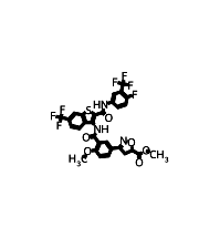 COC(=O)C1CC(c2ccc(OC)c(C(=O)Nc3c(C(=O)Nc4ccc(F)c(C(F)(F)F)c4)sc4cc(C(F)(F)F)ccc34)c2)=NO1